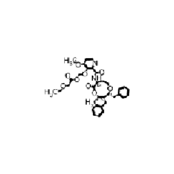 CCOCC(=O)OCOc1c(OC)ccnc1C(=O)N[C@H]1CCO[C@H](Cc2ccccc2)[C@@H](Cc2ccccc2)[C@H](C)OC1=O